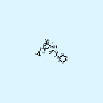 C[C@@](CC(F)(F)CC1CC1)(NC(=O)OCc1ccccc1)C(=O)O